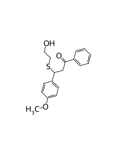 COc1ccc(C(CC(=O)c2ccccc2)SCCO)cc1